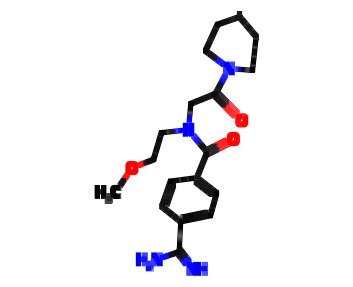 COCCN(CC(=O)N1CC[CH]CC1)C(=O)c1ccc(C(=N)N)cc1